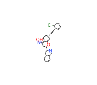 O/N=c1/cc(-c2cc3ccccc3cn2)oc2cc(C#Cc3ccccc3Cl)ccc12